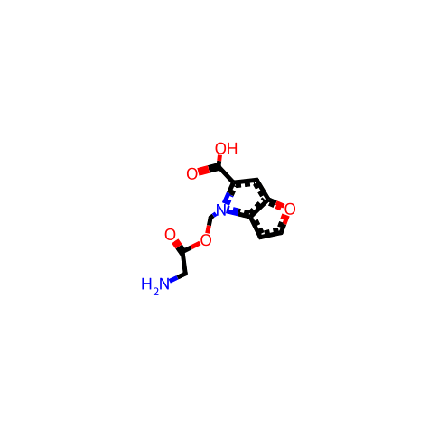 NCC(=O)OCn1c(C(=O)O)cc2occc21